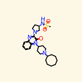 CS(=O)(=O)N[C@@H]1CCN(c2nc3ccccc3n(C3CCN(C4CCCCCCC4)CC3)c2=O)C1